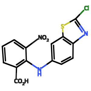 O=C(O)c1cccc([N+](=O)[O-])c1Nc1ccc2nc(Cl)sc2c1